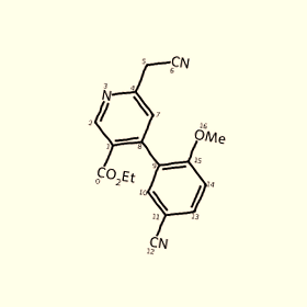 CCOC(=O)c1cnc(CC#N)cc1-c1cc(C#N)ccc1OC